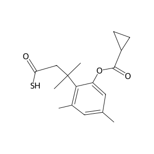 Cc1cc(C)c(C(C)(C)CC(=O)S)c(OC(=O)C2CC2)c1